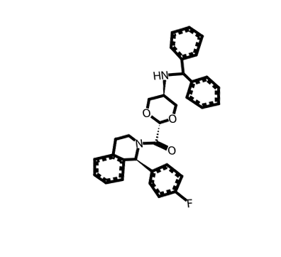 O=C([C@H]1OC[C@H](NC(c2ccccc2)c2ccccc2)CO1)N1CCc2ccccc2[C@@H]1c1ccc(F)cc1